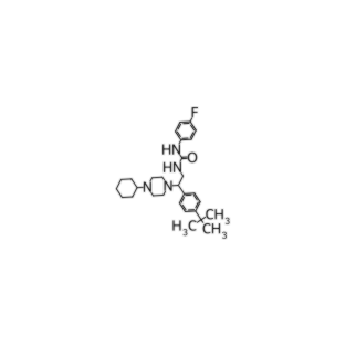 CC(C)(C)c1ccc(C(CNC(=O)Nc2ccc(F)cc2)N2CCN(C3CCCCC3)CC2)cc1